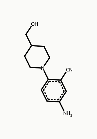 N#Cc1cc(N)ccc1N1CCC(CO)CC1